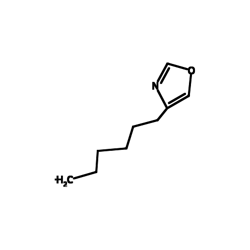 [CH2]CCCCCc1cocn1